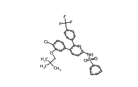 CC(C)(C)COc1cc(-c2ccc(NS(=O)(=O)c3ccccc3)nc2-c2ccc(C(F)(F)F)cc2)ccc1Cl